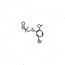 COc1ccc(Br)cc1SCC(C)(C)N=O